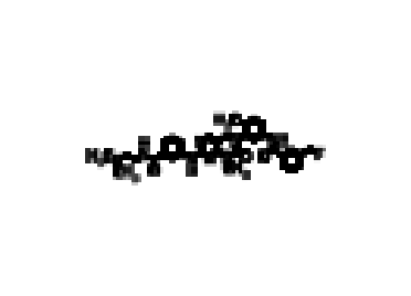 Cc1ccc(NC(=O)c2cccc(CF)c2)cc1N1Cc2cnc(Nc3cccc(C(=O)NCCN(C)C)c3)nc2N(C)C1=O